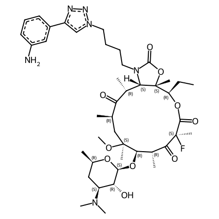 CC[C@H]1OC(=O)[C@@](C)(F)C(=O)[C@H](C)[C@@H](O[C@@H]2O[C@H](C)C[C@H](N(C)C)[C@H]2O)[C@@](C)(OC)C[C@@H](C)C(=O)[C@H](C)[C@@H]2N(CCCCn3cc(-c4cccc(N)c4)nn3)C(=O)O[C@@]21C